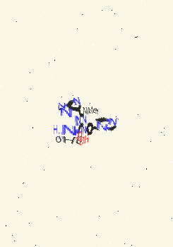 CNc1nc(Nc2ccc(CN3CCN(C)CC3)cc2)c(C(N)=O)nc1-c1cncc2c1ncn2C.O=CO